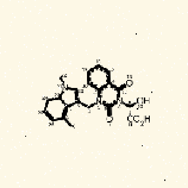 CC1=C2C(Cn3c(=O)n([C@H](O)C(=O)O)c(=O)c4ccccc43)=CN(C)C2CC=C1